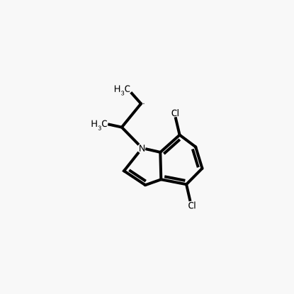 C[CH]C(C)n1ccc2c(Cl)ccc(Cl)c21